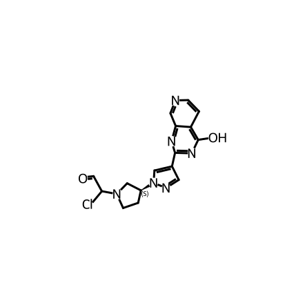 O=CC(Cl)N1CC[C@H](n2cc(-c3nc(O)c4ccncc4n3)cn2)C1